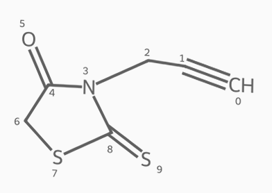 C#CCN1C(=O)CSC1=S